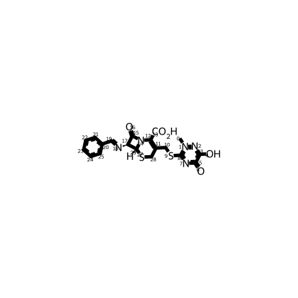 Cn1nc(O)c(=O)nc1SCC1=C(C(=O)O)N2C(=O)[C@@H](N=Cc3ccccc3)[C@@H]2SC1